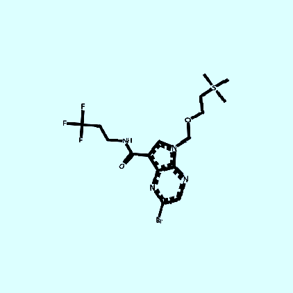 CS(C)(C)CCOCn1cc(C(=O)NCCC(F)(F)F)c2nc(Br)cnc21